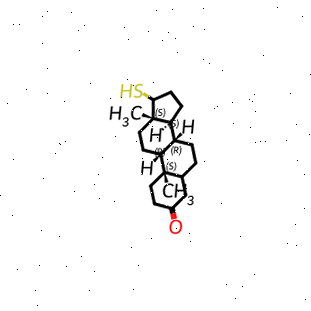 C[C@]12CCC(=O)CC1CC[C@@H]1[C@H]2CC[C@]2(C)C(S)CC[C@@H]12